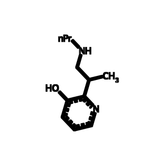 CCCNCC(C)c1ncccc1O